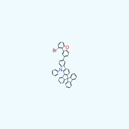 Brc1cccc2oc3ccc(-c4ccc5c(c4)c4ccc6c(c4n5-c4ccccc4)-c4ccccc4C64c5ccccc5-c5ccccc54)cc3c12